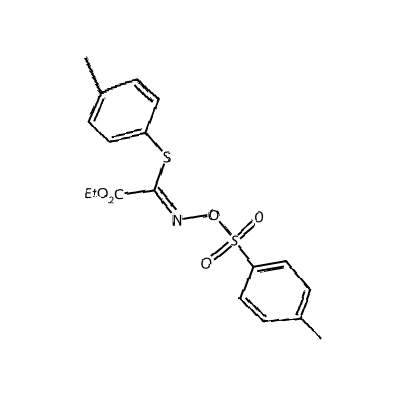 CCOC(=O)/C(=N/OS(=O)(=O)c1ccc(C)cc1)Sc1ccc(C)cc1